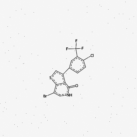 O=c1[nH]cc(Br)c2scc(-c3ccc(Cl)c(C(F)(F)F)c3)c12